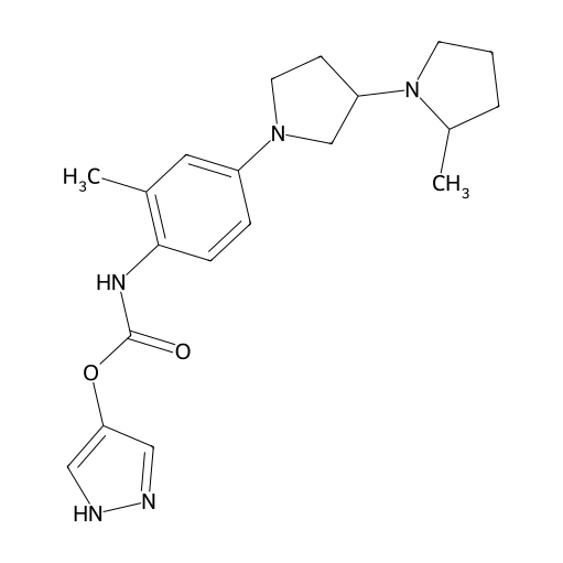 Cc1cc(N2CCC(N3CCCC3C)C2)ccc1NC(=O)Oc1cn[nH]c1